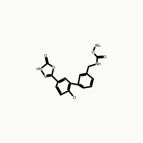 CC(C)(C)OC(=O)NCc1cccc(-c2cc(-c3n[nH]c(=O)o3)ccc2Cl)c1